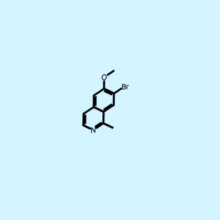 COc1cc2ccnc(C)c2cc1Br